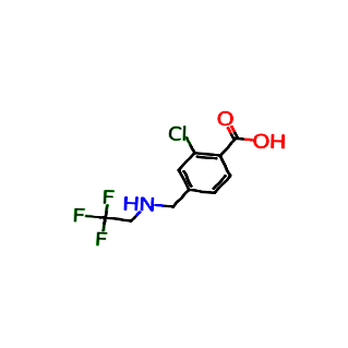 O=C(O)c1ccc(CNCC(F)(F)F)cc1Cl